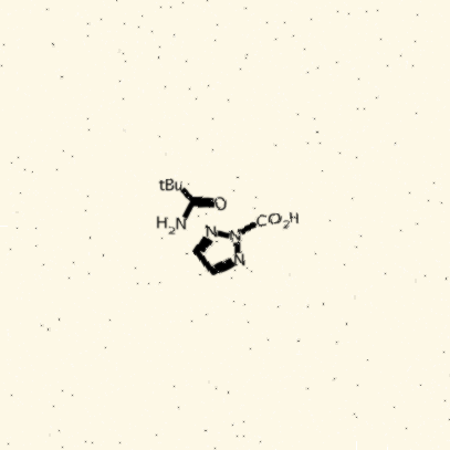 CC(C)(C)C(N)=O.O=C(O)n1nccn1